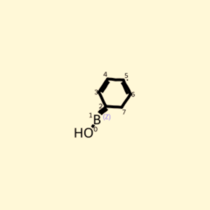 O/B=C1\C=C[C]=CC1